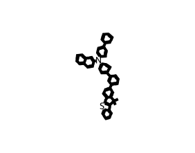 CC1(C)c2cc(-c3cccc(-c4ccc(N(c5ccc(-c6ccccc6)cc5)c5ccc6ccccc6c5)cc4)c3)ccc2-c2sc3ccccc3c21